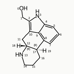 OCc1[nH]c2cccc3c2c1C[C@H]1NCCC[C@H]31